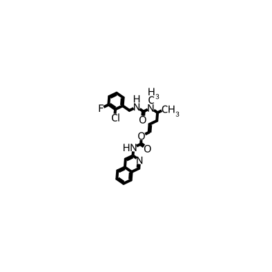 CC(CC=COC(=O)Nc1cc2ccccc2cn1)N(C)C(=O)NCc1cccc(F)c1Cl